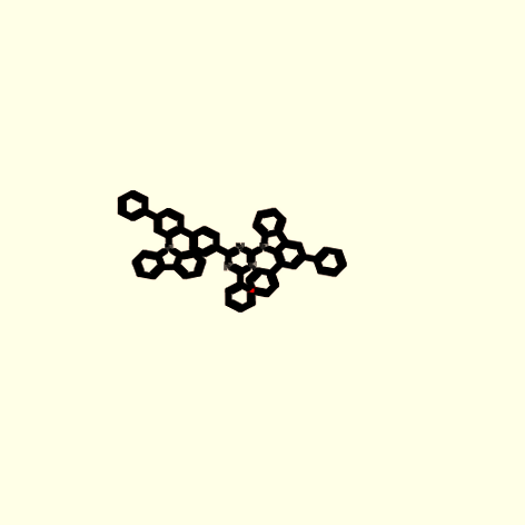 c1ccc(-c2ccc(-c3ccc(-c4nc(-c5ccccc5)nc(-n5c6ccccc6c6cc(-c7ccccc7)cc(-c7ccccc7)c65)n4)cc3)c(-n3c4ccccc4c4ccccc43)c2)cc1